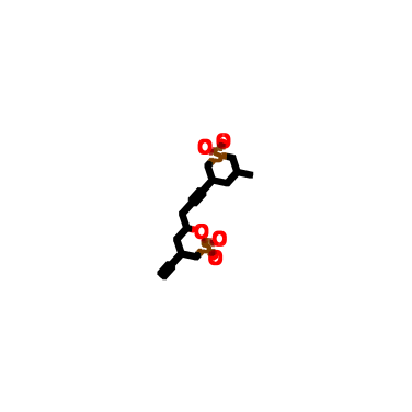 C#CC1CC(CC#CC2CC(C)CS(=O)(=O)C2)OS(=O)(=O)C1